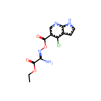 CCOC(=O)/C(N)=N/OC(=O)c1cnc2[nH]ccc2c1Cl